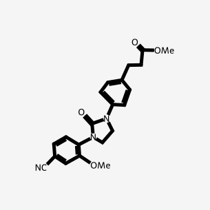 COC(=O)CCc1ccc(N2CCN(c3ccc(C#N)cc3OC)C2=O)cc1